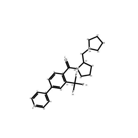 O=C(c1ccc(-c2ccncc2)cc1C(F)(F)F)N1CCCC1CN1CCCC1